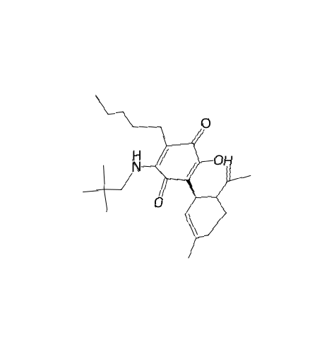 C=C(C)C1CCC(C)=C[C@H]1C1=C(O)C(=O)C(CCCCC)=C(NCC(C)(C)C)C1=O